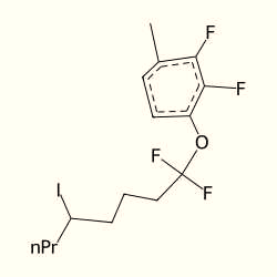 CCCC(I)CCCC(F)(F)Oc1ccc(C)c(F)c1F